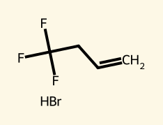 Br.C=CCC(F)(F)F